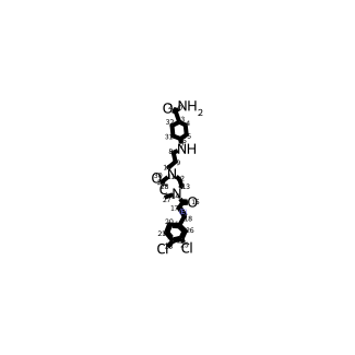 NC(=O)C1CCC(NCCCN2CCN(C(=O)/C=C/c3ccc(Cl)c(Cl)c3)CCC2=O)CC1